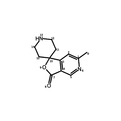 Cc1cc2c(cn1)C(=O)OC21CCNCC1